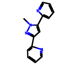 Cn1nc(-c2ccccn2)cc1-c1ccccn1